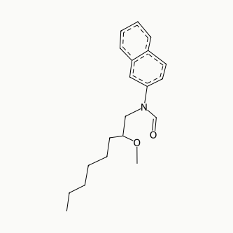 CCCCCCC(CN(C=O)c1ccc2ccccc2c1)OC